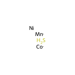 S.[Co].[Mn].[Ni]